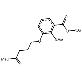 CNc1c(OCCCC(=O)OC)cccc1C(=O)OC(C)(C)C